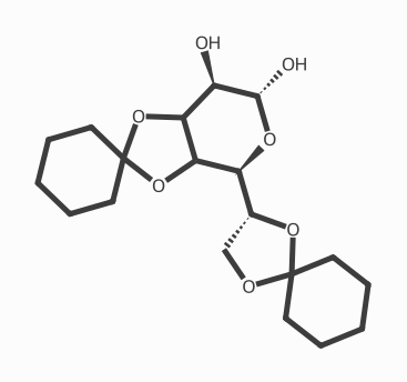 O[C@@H]1O[C@@H]([C@H]2COC3(CCCCC3)O2)C2OC3(CCCCC3)OC2[C@H]1O